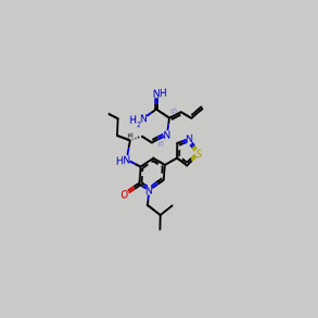 C=C/C=C(\N=C/C[C@@H](CCC)Nc1cc(-c2cnsc2)cn(CC(C)C)c1=O)C(=N)N